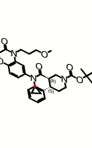 COCCCN1C(=O)COc2ccc(N(C(=O)[C@H]3CN(C(=O)OC(C)(C)C)CC[C@@H]3c3ccccc3)C3CC3)cc21